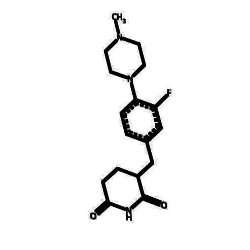 CN1CCN(c2ccc(CC3CCC(=O)NC3=O)cc2F)CC1